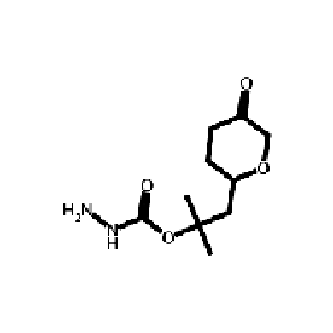 CC(C)(CC1CCC(=O)CO1)OC(=O)NN